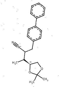 CC(C(Cc1ccc(-c2ccccc2)cc1)[N+]#N)[C@H]1COC(C)(C)O1